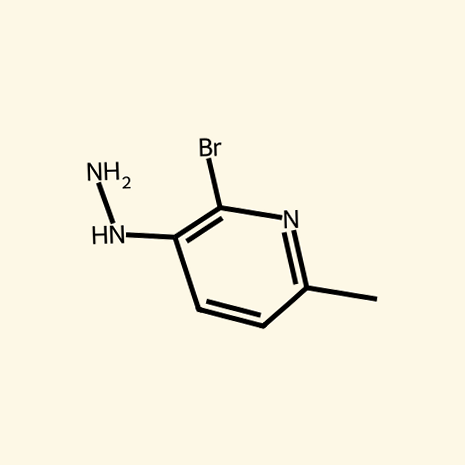 Cc1ccc(NN)c(Br)n1